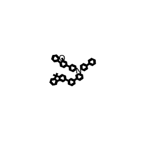 CC1(C)c2ccccc2-c2cc(-c3cccc(-c4cccc(N(c5ccc(-c6ccccc6)cc5)c5ccc(-c6ccc7c(c6)oc6ccccc67)cc5)c4)c3)ccc21